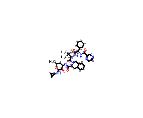 CCCC(NC(=O)[C@@H]1Cc2ccccc2CN1C(=O)[C@@H](NC(=O)[C@@H](NC(=O)c1cnccn1)C1CCCCC1)C(C)(C)C)C(=O)C(=O)NC1CC1